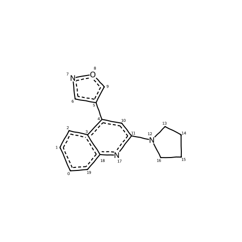 c1ccc2c(-c3cnoc3)cc(N3CCCC3)nc2c1